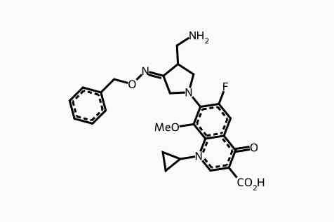 COc1c(N2C/C(=N\OCc3ccccc3)C(CN)C2)c(F)cc2c(=O)c(C(=O)O)cn(C3CC3)c12